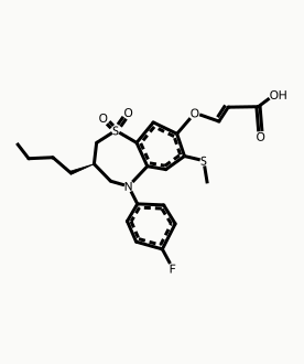 CCCC[C@@H]1CN(c2ccc(F)cc2)c2cc(SC)c(O/C=C/C(=O)O)cc2S(=O)(=O)C1